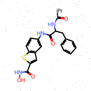 CC(C)C(=O)NC(Cc1ccccc1)C(=O)Nc1ccc2sc(C(=O)NO)cc2c1